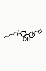 CCCCCCC(C)(C)c1ccc(C2=CCCN(CC3CCC3)C2)c(O)c1